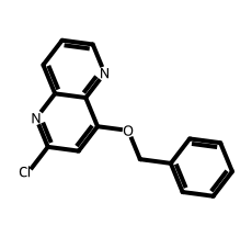 Clc1cc(OCc2ccccc2)c2ncccc2n1